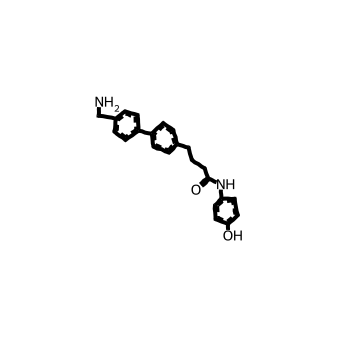 NCc1ccc(-c2ccc(CCCC(=O)Nc3ccc(O)cc3)cc2)cc1